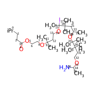 CC(C)CCC(=O)OCCOC(C)(C)CCOC(C)(I)C(C)(C)CC(C)OC(C)(C)C(C)(C)CCOC(C)N